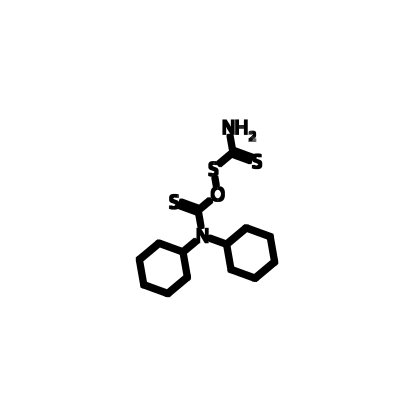 NC(=S)SOC(=S)N(C1CCCCC1)C1CCCCC1